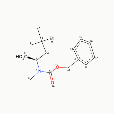 CCC(C)(C)C[C@H](C(=O)O)N(C)C(=O)OCc1ccccc1